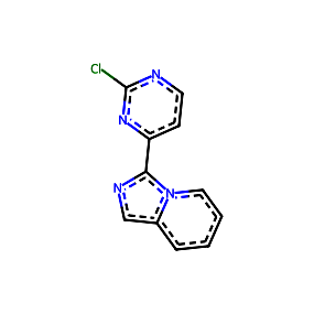 Clc1nccc(-c2ncc3ccccn23)n1